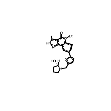 CCn1c(=O)c2c(C)[nH]nc2c2cc(-c3ccc(CN4CCCC4C(=O)O)s3)ccc21